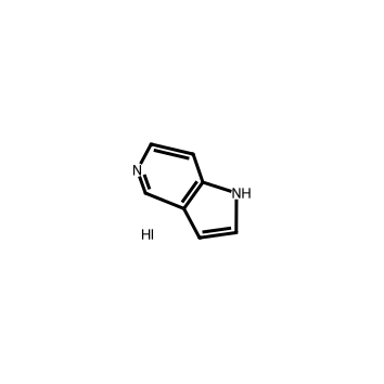 I.c1cc2[nH]ccc2cn1